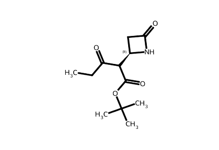 CCC(=O)C(C(=O)OC(C)(C)C)[C@H]1CC(=O)N1